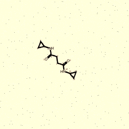 O=C(CCC(=O)NC1CC1)NC1CC1